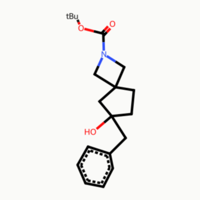 CC(C)(C)OC(=O)N1CC2(CCC(O)(Cc3ccccc3)C2)C1